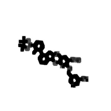 Cc1c(B2OC(C)(C)C(C)(C)O2)cccc1-c1cccc2c1CCC2Oc1nc(OCc2cncc(C#N)c2)c(C=O)cc1Cl